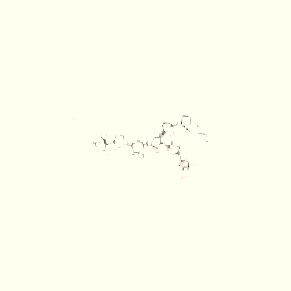 CCCCCCc1ccc(C2=CC=C(c3cc(-c4cc(-c5ccc(-c6ccc(CCCCCC)s6)s5)c(-c5ccc(-c6ccc(C)s6)s5)s4)sc3C)C2)s1